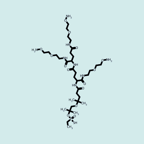 CCP(=O)(S)OC(C)(C)COC(C)(C)CCC(=O)NC(CCC(=O)NC(CCC(=O)NCCOCCON)C(=O)NCCOCCON)C(=O)NCCOCCON